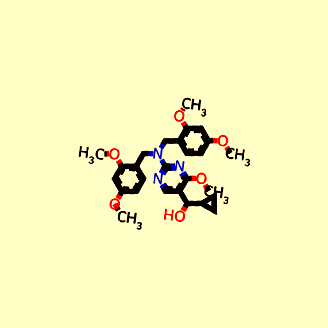 COc1ccc(CN(Cc2ccc(OC)cc2OC)c2ncc(C(O)C3CC3)c(OC)n2)c(OC)c1